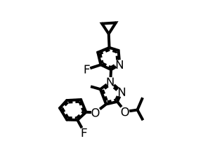 Cc1c(Oc2ccccc2F)c(OC(C)C)nn1-c1ncc(C2CC2)cc1F